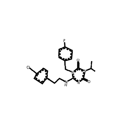 CC(C)n1c(=O)nc(NCCc2ccc(Cl)cc2)n(Cc2ccc(F)cc2)c1=O